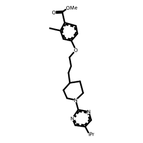 COC(=O)c1ccc(OCCCC2CCN(c3ncc(C(C)C)cn3)CC2)cc1C